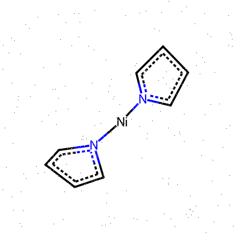 c1cc[n]([Ni][n]2cccc2)c1